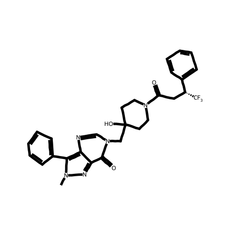 Cn1nc2c(=O)n(CC3(O)CCN(C(=O)C[C@H](c4ccccc4)C(F)(F)F)CC3)cnc2c1-c1ccccc1